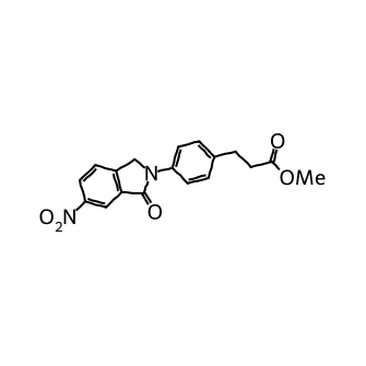 COC(=O)CCc1ccc(N2Cc3ccc([N+](=O)[O-])cc3C2=O)cc1